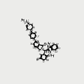 CN1CCC(c2ccc(-c3ccc4c(n3)C(=O)N(C(c3nc5ccccc5[nH]3)c3cc(F)ccc3O)C4)cc2)CC1